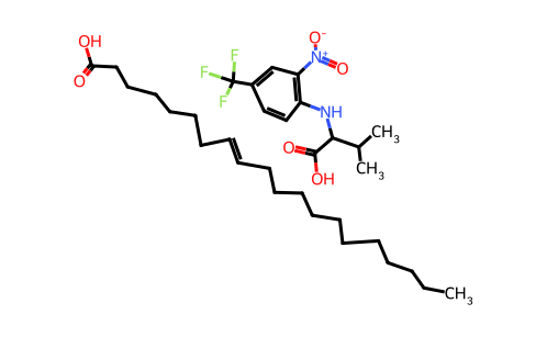 CC(C)C(Nc1ccc(C(F)(F)F)cc1[N+](=O)[O-])C(=O)O.CCCCCCCCCCCC=CCCCCCCC(=O)O